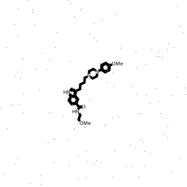 COCCNC(=O)c1ccc2[nH]cc(CCCCN3CCN(c4ccc(OC)cc4)CC3)c2c1